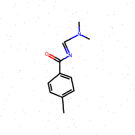 Cc1ccc(C(=O)N=CN(C)C)cc1